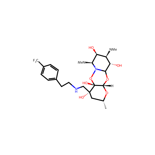 CN[C@@H]1[C@H](O)[C@H](NC)N2O[C@]3(O)[C@H](OC2[C@H]1O)O[C@H](C)C[C@@]3(O)CNCCc1ccc(C(F)(F)F)cc1